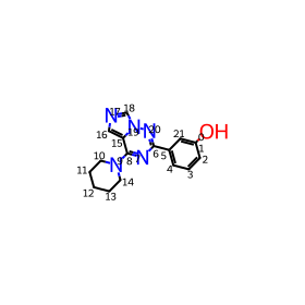 Oc1cccc(-c2nc(N3CCCCC3)c3cncn3n2)c1